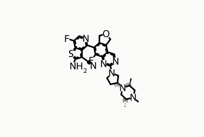 C[C@@H]1CN([C@H]2CCN(c3ncc4c5c(c(-c6ncc(F)c7sc(N)c(C#N)c67)c(F)c4n3)COC5)C2)[C@@H](C)CN1C